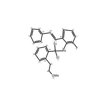 CCC(CC)(Pc1c(C)cccc1/C=N/c1ccccc1)c1ccccc1CCOC